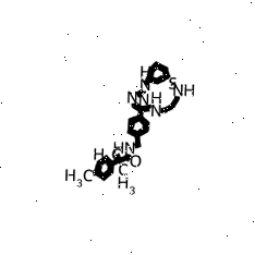 Cc1ccc(C(C)(C)C(=O)NCc2ccc(-c3cnc4nc3NCCCNSc3cccc(c3)N4)cc2)cc1